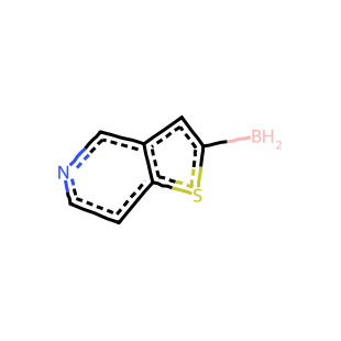 Bc1cc2cnccc2s1